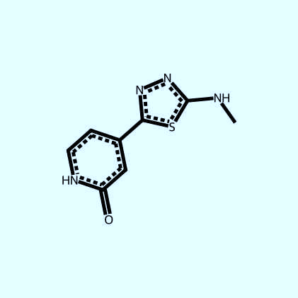 CNc1nnc(-c2cc[nH]c(=O)c2)s1